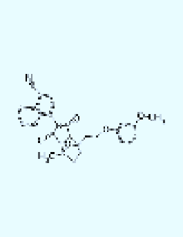 COc1cccc(OCCC23CCC(C)(O2)C2C(=O)N(c4ccc(C#N)c5ccccc45)C(=O)C23)c1